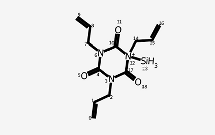 C=CCN1C(=O)N(CC=C)C(=O)[N+]([SiH3])(CC=C)C1=O